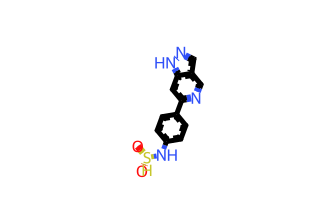 O=[SH](=O)Nc1ccc(-c2cc3[nH]ncc3cn2)cc1